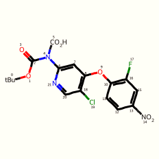 CC(C)(C)OC(=O)N(C(=O)O)c1cc(Oc2ccc([N+](=O)[O-])cc2F)c(Cl)cn1